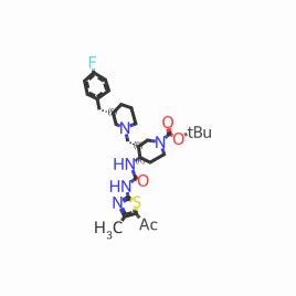 CC(=O)c1sc(NC(=O)N[C@@H]2CCN(C(=O)OC(C)(C)C)C[C@H]2CN2CCC[C@@H](Cc3ccc(F)cc3)C2)nc1C